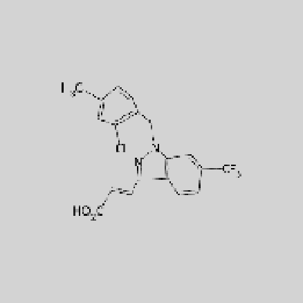 Cc1ccc(Cn2nc(C=CC(=O)O)c3ccc(C(F)(F)F)cc32)c(Cl)c1